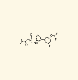 CN(C)C(=O)CN1CNc2cc(-c3cc(F)cc(OC(F)F)c3)ccc2C1=O